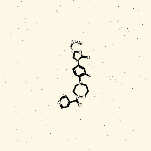 CC(=O)NC[C@H]1CN(c2ccc(N3CCON(C(=O)c4ccncc4)CC3)c(F)c2)C(=O)O1